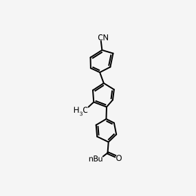 CCCCC(=O)c1ccc(-c2ccc(-c3ccc(C#N)cc3)cc2C)cc1